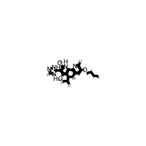 CCCCOc1cc2c(nc1C)-c1[nH]c(=O)c(-c3ncn[nH]3)c(O)c1C(C(C)C)C2